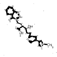 Cn1cc(-c2csc(CC[C@@H](O)[C@H](CCn3nnc4ccccc4c3=O)C(=O)O)c2)cn1